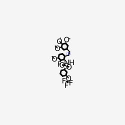 COc1ccc(/C=C\c2cc(OC)c(OC)c(OC)c2)c(NS(=O)(=O)c2cccc(OC(F)(F)F)c2)c1F